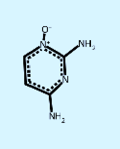 Nc1cc[n+]([O-])c(N)n1